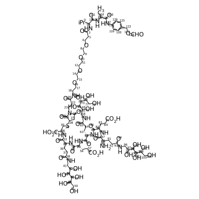 CC(C)[C@H](NC(=O)CCOCCOCCOCCOCCNC(=O)CCN1C(=O)CC(SC[C@@H](NC(=O)[C@H](CCC(=O)NC[C@H](O)[C@@H](O)[C@H](O)[C@H](O)CO)NC(=O)[C@@H](CCC(=O)O)NC(=O)[C@H](CCC(=O)NC[C@H](O)[C@@H](O)[C@H](O)[C@H](O)CO)NC(=O)[C@@H](CCC(=O)O)NC(=O)[C@@H](N)CCC(=O)NC[C@H](O)[C@@H](O)[C@H](O)[C@H](O)CO)C(=O)O)C1=O)C(=O)N[C@@H](C)C(=O)Nc1ccc(COC=O)cc1